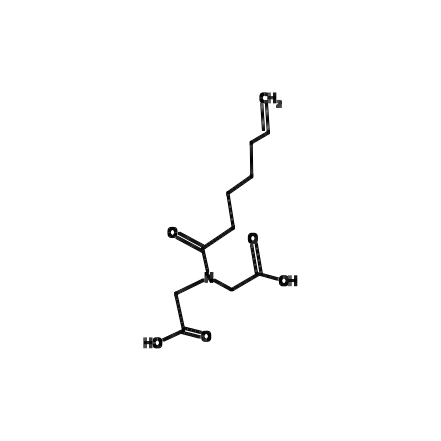 C=CCCCCC(=O)N(CC(=O)O)CC(=O)O